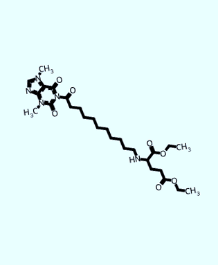 CCOC(=O)CCC(NCCCCCCCCCCC(=O)n1c(=O)c2c(ncn2C)n(C)c1=O)C(=O)OCC